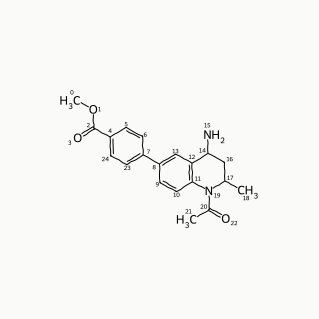 COC(=O)c1ccc(-c2ccc3c(c2)C(N)CC(C)N3C(C)=O)cc1